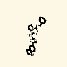 O=C(Nc1ncc(-c2ccc3[nH]ccc3c2)o1)[C@@H]1CCCN1C(=O)OCc1ccccc1